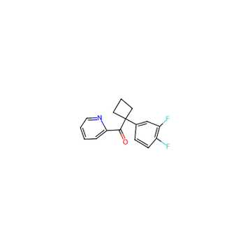 O=C(c1ccccn1)C1(c2ccc(F)c(F)c2)CCC1